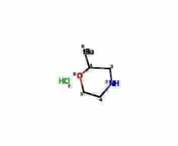 CC(C)(C)C1CNCCO1.Cl